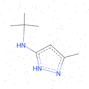 Cc1cc(NC(C)(C)C)[nH]n1